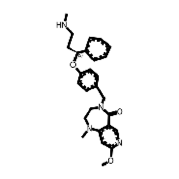 CNCC[C@H](Oc1ccc(CN2CCN(C)c3cc(OC)ncc3C2=O)cc1)c1ccccc1